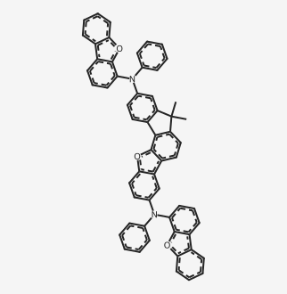 CC1(C)c2cc(N(c3ccccc3)c3cccc4c3oc3ccccc34)ccc2-c2c1ccc1c2oc2ccc(N(c3ccccc3)c3cccc4c3oc3ccccc34)cc21